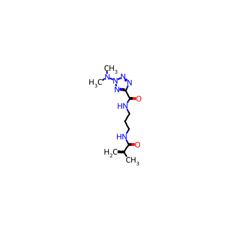 C=C(C)C(=O)NCCCNC(=O)c1nnn(N(C)C)n1